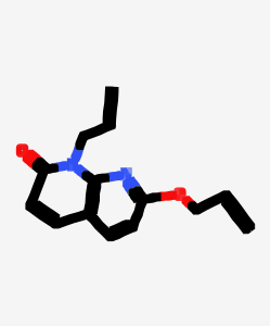 C=CCOc1ccc2ccc(=O)n(CC=C)c2n1